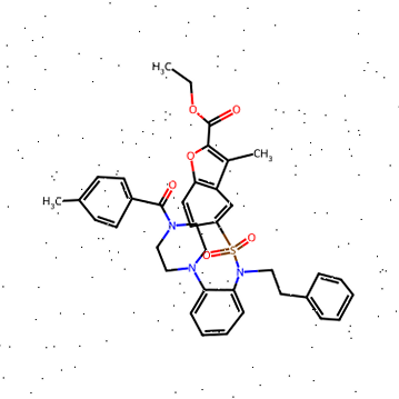 CCOC(=O)c1oc2ccc(S(=O)(=O)N(CCc3ccccc3)c3ccccc3N3CCN(C(=O)c4ccc(C)cc4)CC3)cc2c1C